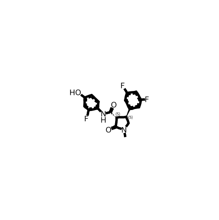 CN1C[C@H](c2cc(F)cc(F)c2)[C@@H](C(=O)Nc2ccc(O)cc2F)C1=O